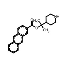 CC(C)(OC(=O)c1ccc2cc3ccccc3cc2c1)C1CCNCC1